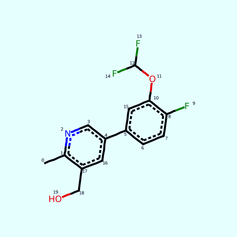 Cc1ncc(-c2ccc(F)c(OC(F)F)c2)cc1CO